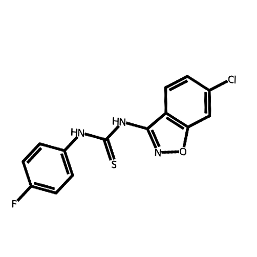 Fc1ccc(NC(=S)Nc2noc3cc(Cl)ccc23)cc1